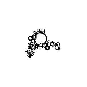 C=C[C@@H]1C[C@]1(NC(=O)[C@@H]1C[C@@H]2CN1C(=O)[C@H](C1CCCCC1)NC(=O)O[C@@H]1C[C@H]1CCCCCc1c(nc3ccccc3c1OC1CCN(C(=O)OC(C)(C)C)CC1)O2)C(=O)NS(=O)(=O)C1(C)CC1